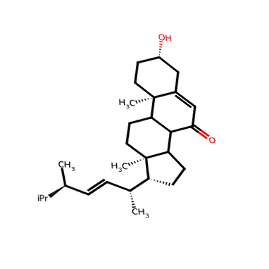 CC(C)[C@@H](C)/C=C/[C@@H](C)[C@H]1CCC2C3C(=O)C=C4C[C@@H](O)CC[C@]4(C)C3CC[C@@]21C